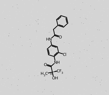 C[C@@](O)(C(=O)Nc1ccc(NC(=O)Cc2ccccc2)cc1Cl)C(F)(F)F